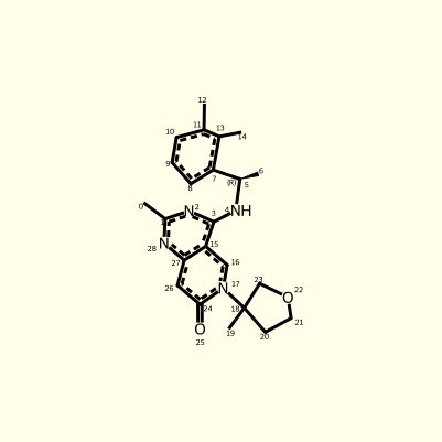 Cc1nc(N[C@H](C)c2cccc(C)c2C)c2cn(C3(C)CCOC3)c(=O)cc2n1